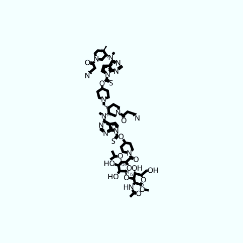 CO[C@@H]1OC(CO)[C@@H](O)C(O[C@@H]2OC(C(=O)N3CCC(OC(=S)n4ccc5c(N(C)[C@H]6CN(C(=O)CC#N)CC[C@H]6CN6CCC(OC(=S)n7ccc8c(N(C)[C@H]9CN(C(=O)CC#N)CC[C@H]9C)ncnc87)CC6)ncnc54)CC3)[C@@H](OC(C)C)C(O)C2O)C1NC(C)=O